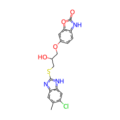 Cc1cc2nc(SCC(O)COc3ccc4[nH]c(=O)oc4c3)[nH]c2cc1Cl